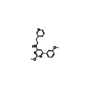 COc1cccc(-c2cc(NCCc3cccnc3)nc(OC)n2)c1